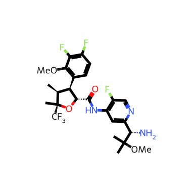 COc1c([C@H]2[C@H](C(=O)Nc3cc([C@H](N)C(C)(C)OC)ncc3F)O[C@@](C)(C(F)(F)F)[C@H]2C)ccc(F)c1F